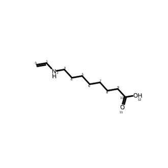 C=CNCCCCCCCC(=O)O